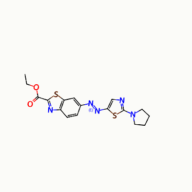 CCOC(=O)c1nc2ccc(/N=N/c3cnc(N4CCCC4)s3)cc2s1